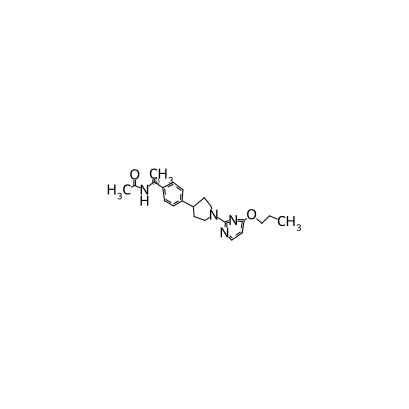 CCCOc1ccnc(N2CCC(c3ccc([C@H](C)NC(C)=O)cc3)CC2)n1